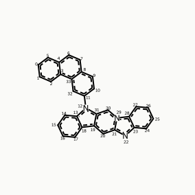 c1ccc2c(c1)ccc1ccc(-n3c4ccccc4c4cc5nc6ccccc6n5cc43)cc12